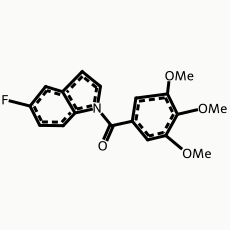 COc1cc(C(=O)n2ccc3cc(F)ccc32)cc(OC)c1OC